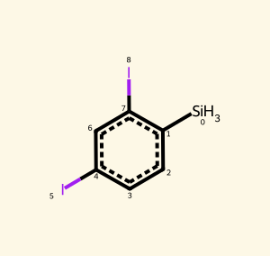 [SiH3]c1ccc(I)cc1I